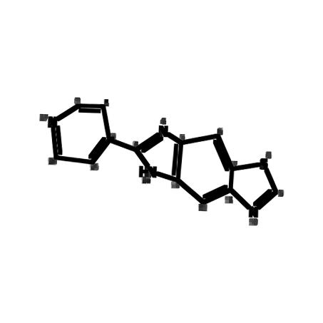 c1cc(-c2nc3cc4scnc4cc3[nH]2)ccn1